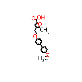 COc1ccc(-c2ccc(OCCc3cc(C(=O)O)oc3C)cc2)cc1